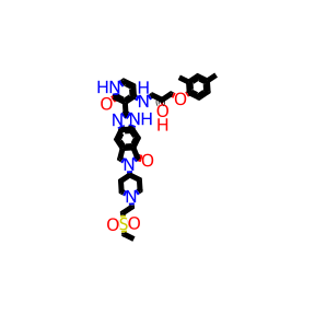 CCS(=O)(=O)CCN1CCC(N2Cc3cc4nc(-c5c(NC[C@@H](O)COc6ccc(C)cc6C)cc[nH]c5=O)[nH]c4cc3C2=O)CC1